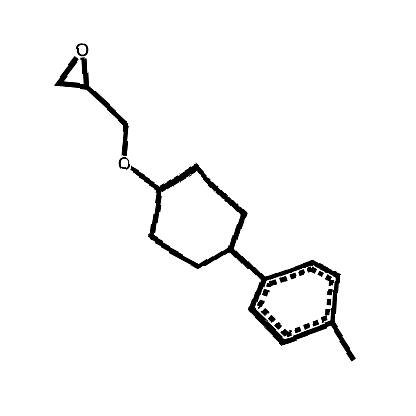 Cc1ccc(C2CCC(OCC3CO3)CC2)cc1